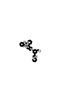 O=Cc1cc(-c2cn3ccccc3n2)cc(N2CC3CNC(C4C=CC=CN4c4nc5ccccc5[nH]4)C3C2)c1